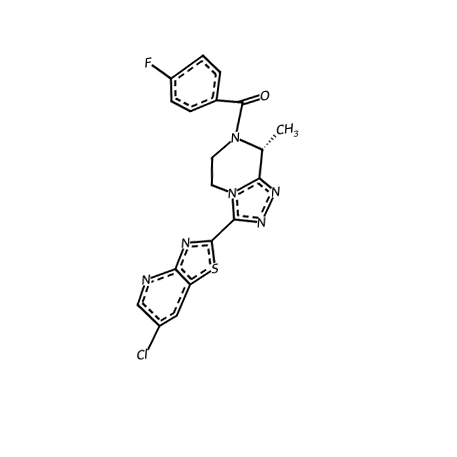 C[C@@H]1c2nnc(-c3nc4ncc(Cl)cc4s3)n2CCN1C(=O)c1ccc(F)cc1